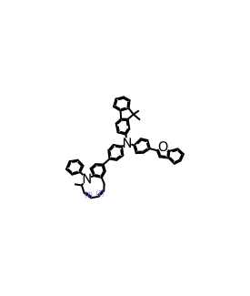 CC1/C=C\C=C/Cc2cc(-c3ccc(N(c4ccc(-c5cc6ccccc6o5)cc4)c4ccc5c(c4)C(C)(C)c4ccccc4-5)cc3)ccc2N1c1ccccc1